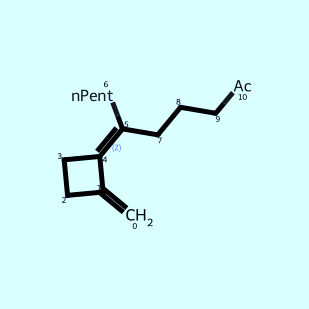 C=C1CC/C1=C(\CCCCC)CCCC(C)=O